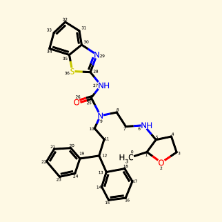 CC1OCCC1NCCN(CCC(c1ccccc1)c1ccccc1)C(=O)Nc1nc2ccccc2s1